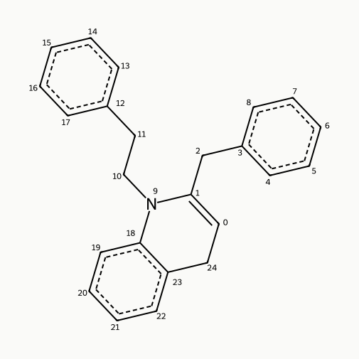 C1=C(Cc2ccccc2)N(CCc2ccccc2)c2ccccc2C1